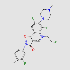 Cc1ccc(NC(=O)c2cn(CCF)c3c(F)c(N4CCN(C)CC4)c(F)cc3c2=O)cc1F